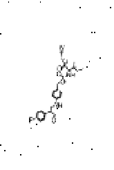 CC[C@H](C)[C@H](NC(=O)OCc1ccc(NCC(C=O)c2ccc(F)cc2)cc1)C(=O)OCC#N